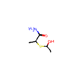 CC(O)SC(C)C(N)=O